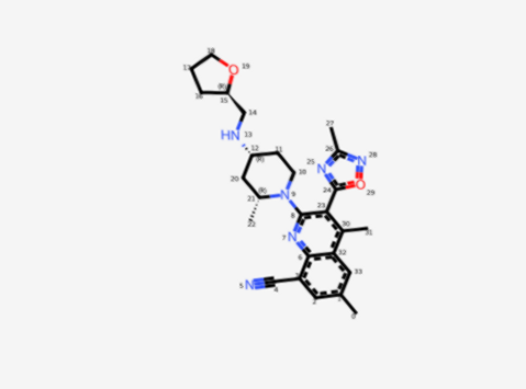 Cc1cc(C#N)c2nc(N3CC[C@@H](NC[C@H]4CCCO4)C[C@H]3C)c(-c3nc(C)no3)c(C)c2c1